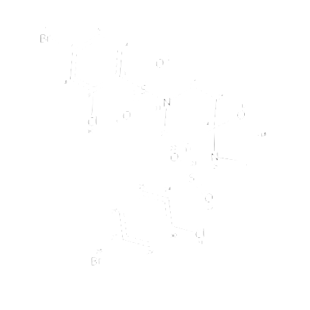 O=S(=O)(c1ccc(Br)cc1Cl)N1CCC2(CC1)OCCN2S(=O)(=O)c1ccc(Br)cc1Cl